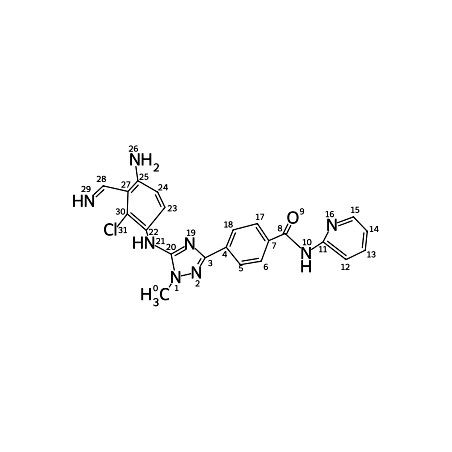 Cn1nc(-c2ccc(C(=O)Nc3ccccn3)cc2)nc1Nc1ccc(N)c(C=N)c1Cl